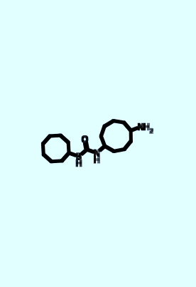 NC1CCCCC(NC(=O)BC2CCCCCCC2)CCC1